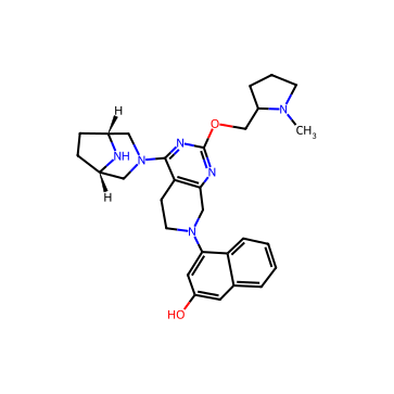 CN1CCCC1COc1nc2c(c(N3C[C@H]4CC[C@@H](C3)N4)n1)CCN(c1cc(O)cc3ccccc13)C2